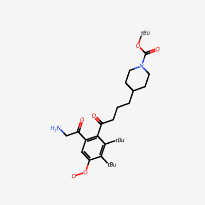 CC(C)(C)OC(=O)N1CCC(CCCC(=O)c2c(C(=O)CN)[c]c(O[O])c(C(C)(C)C)c2C(C)(C)C)CC1